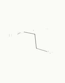 CS[C@H](C)CN